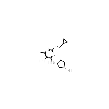 Nc1c(Cl)nc(SCC2CC2)nc1N[C@H]1CC[C@@H](O)C1